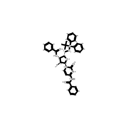 CC(C)(C)[Si](OC[C@@H]1O[C@@H](n2ccc(NC(=O)c3ccccc3)nc2=O)[C@@H](F)[C@@H]1OC(=O)c1ccccc1)(c1ccccc1)c1ccccc1